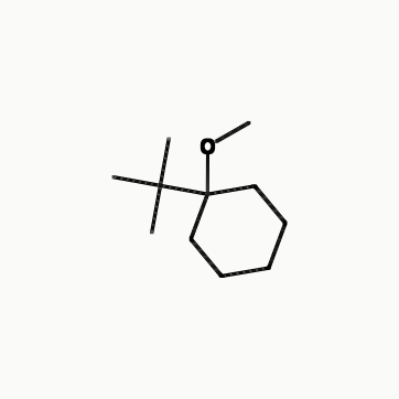 COC1(C(C)(C)C)CCCCC1